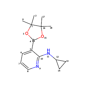 CC1(C)OB(c2cccnc2NC2CC2)OC1(C)C